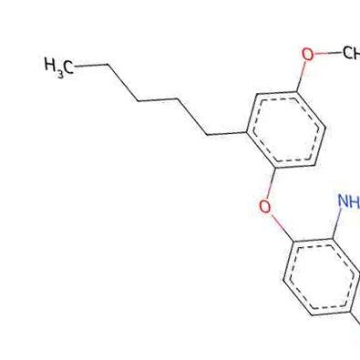 CCCCCc1cc(OC)ccc1Oc1ccc(OC)cc1N